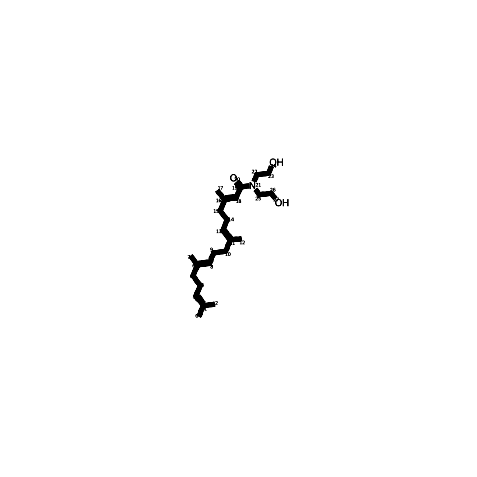 CC(C)=CCCC(C)=CCCC(C)=CCCC(C)=CC(=O)N(CCO)CCO